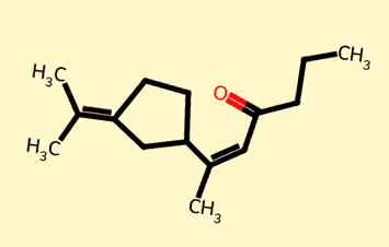 CCCC(=O)/C=C(/C)C1CCC(=C(C)C)C1